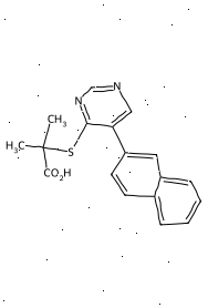 CC(C)(Sc1ncncc1-c1ccc2ccccc2c1)C(=O)O